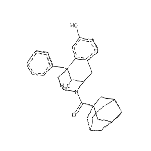 CC1C2Cc3ccc(O)cc3C1(c1ccccc1)CCN2C(=O)C12CC3CC(CC(C3)C1)C2